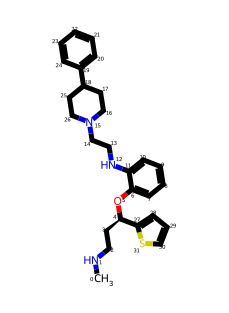 CNCC[C@@H](Oc1ccccc1NCCN1CCC(c2ccccc2)CC1)c1cccs1